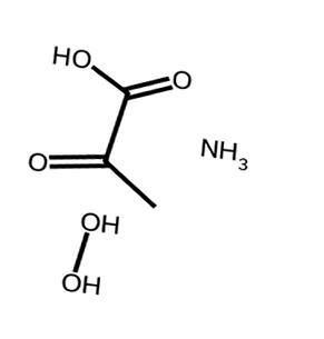 CC(=O)C(=O)O.N.OO